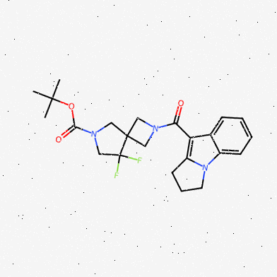 CC(C)(C)OC(=O)N1CC(F)(F)C2(C1)CN(C(=O)c1c3n(c4ccccc14)CCC3)C2